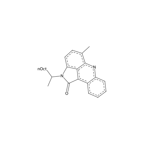 CCCCCCCCC(C)N1C(=O)c2c3ccccc3nc3c(C)ccc1c23